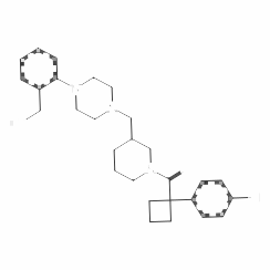 CC(C)Cc1ccccc1N1CCN(CC2CCCN(C(=O)C3(c4ccc(Cl)cc4)CCC3)C2)CC1